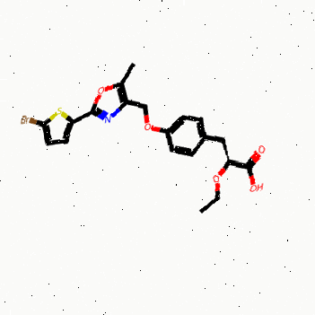 CCO[C@@H](Cc1ccc(OCc2nc(-c3ccc(Br)s3)oc2C)cc1)C(=O)O